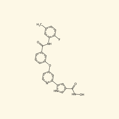 Cc1ccc(F)c(NC(=O)c2cccc(Oc3ccnc(-c4cc(C(=O)NO)c[nH]4)c3)c2)c1